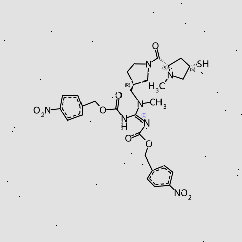 CN(C[C@H]1CCN(C(=O)[C@@H]2C[C@H](S)CN2C)C1)/C(=N/C(=O)OCc1ccc([N+](=O)[O-])cc1)NC(=O)OCc1ccc([N+](=O)[O-])cc1